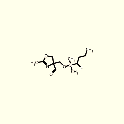 CCCC(F)[Si](C)(C)OCC1(C=O)COC(C)=N1